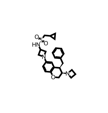 O=S(=O)(CC1CC1)NC1CN(c2ccc3c(c2)[C@@H](Cc2ccccc2)[C@@H](N2CCC2)CO3)C1